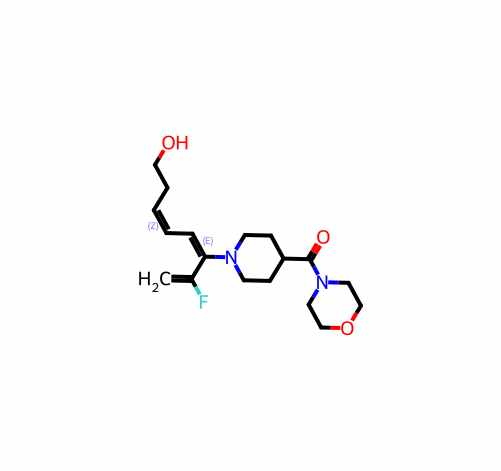 C=C(F)/C(=C\C=C/CCO)N1CCC(C(=O)N2CCOCC2)CC1